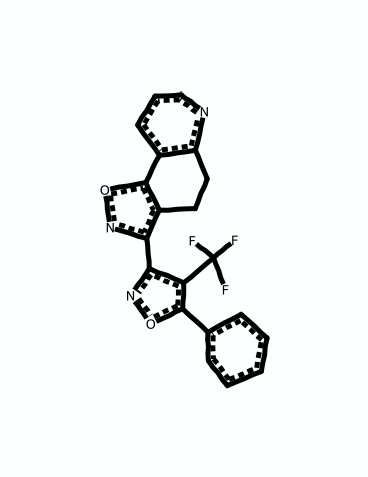 FC(F)(F)c1c(-c2noc3c2CCc2n[c]ccc2-3)noc1-c1ccccc1